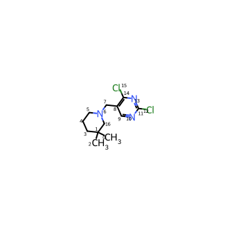 CC1(C)CCCN(Cc2cnc(Cl)nc2Cl)C1